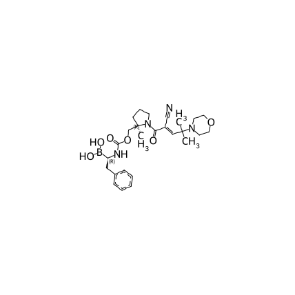 CC(C)(C=C(C#N)C(=O)N1CCC[C@]1(C)COC(=O)N[C@@H](Cc1ccccc1)B(O)O)N1CCOCC1